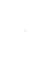 CCOCCc1ccc2c(c1Nc1ccccc1)C1(OC2=O)c2ccccc2Oc2ccccc21